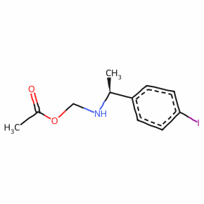 CC(=O)OCN[C@@H](C)c1ccc(I)cc1